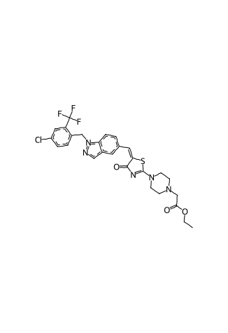 CCOC(=O)CN1CCN(C2=NC(=O)C(=Cc3ccc4c(cnn4Cc4ccc(Cl)cc4C(F)(F)F)c3)S2)CC1